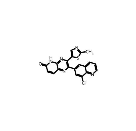 Cc1ncc(-c2nc3[nH]c(=O)ccc3nc2-c2cc(Cl)c3ncccc3c2)s1